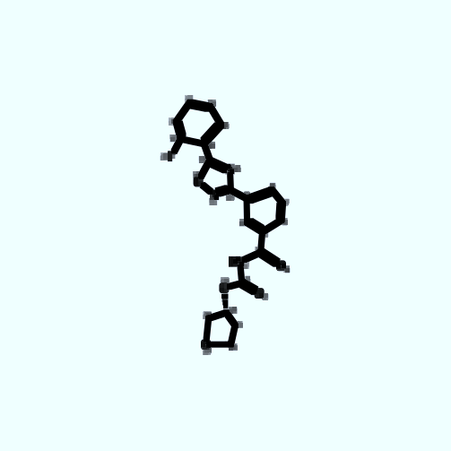 O=C(NC(=O)c1cccc(-c2noc(-c3ccccc3F)n2)c1)O[C@@H]1CCOC1